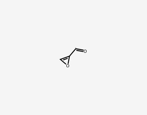 O=[C]C1=CO1